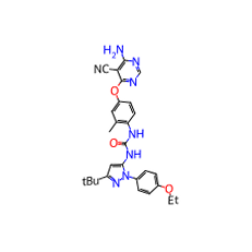 CCOc1ccc(-n2nc(C(C)(C)C)cc2NC(=O)Nc2ccc(Oc3ncnc(N)c3C#N)cc2C)cc1